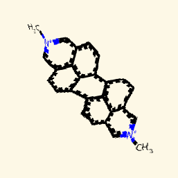 C[n+]1cc2ccc3c4ccc5c[n+](C)cc6ccc(c7ccc(c1)c2c37)c4c56